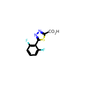 O=C(O)c1nnc(-c2c(F)cccc2F)s1